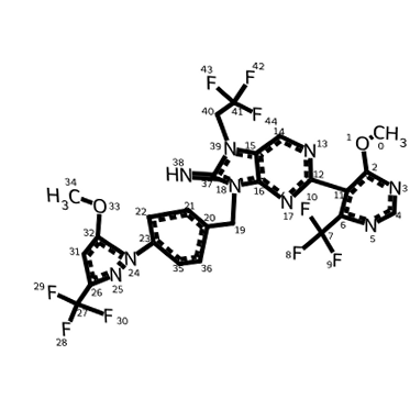 COc1ncnc(C(F)(F)F)c1-c1ncc2c(n1)n(Cc1ccc(-n3nc(C(F)(F)F)cc3OC)cc1)c(=N)n2CC(F)(F)F